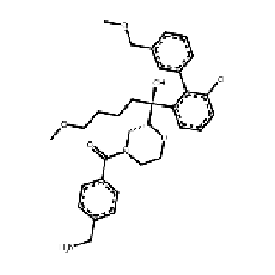 COCCCC[C@](O)(c1cccc(Cl)c1-c1cccc(COC)c1)[C@H]1CN(C(=O)c2ccc(CN)cc2)CCO1